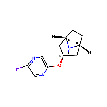 CN1[C@@H]2CC[C@H]1C[C@H](Oc1cnc(I)cn1)C2